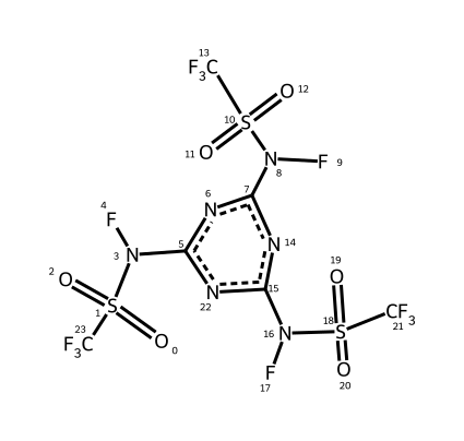 O=S(=O)(N(F)c1nc(N(F)S(=O)(=O)C(F)(F)F)nc(N(F)S(=O)(=O)C(F)(F)F)n1)C(F)(F)F